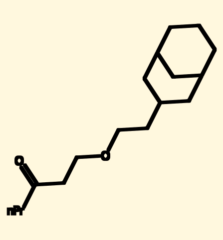 CCCC(=O)CCOCCC1CC2CCCC(C2)C1